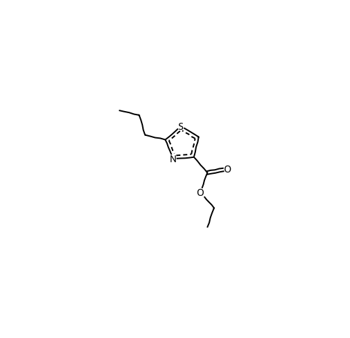 CCCc1nc(C(=O)OCC)cs1